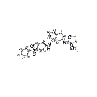 CN1CCO/C1=N\c1ccc2ncnc(Nc3ccc(S(=O)(=O)c4ccccc4)cc3)c2c1